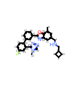 Cc1cc(CNCC2CCC2)cc2nc(-c3cccc(-c4ccc(F)cc4-c4nncn4C)c3)oc12